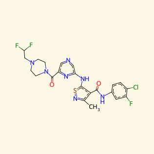 Cc1nsc(Nc2cncc(C(=O)N3CCN(CC(F)F)CC3)n2)c1C(=O)Nc1ccc(Cl)c(F)c1